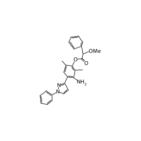 COC(C(=O)Oc1c(C)cc(-c2ccn(-c3ccccc3)n2)c(N)c1C)c1ccccc1